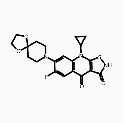 O=c1[nH]sc2c1c(=O)c1cc(F)c(N3CCC4(CC3)OCCO4)cc1n2C1CC1